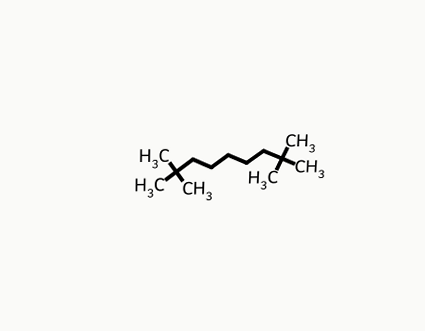 CC(C)(C)CCCCCC(C)(C)C